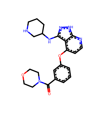 O=C(c1cccc(Oc2ccnc3[nH]nc(NC4CCCNC4)c23)c1)N1CCOCC1